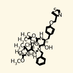 COC(=O)N[C@H](C(=O)NN(Cc1ccccc1)C[C@H](O)[C@H](Cc1ccc(OCc2cscn2)cc1)NC(=O)OC(C)(C)C)C(C)(C)C